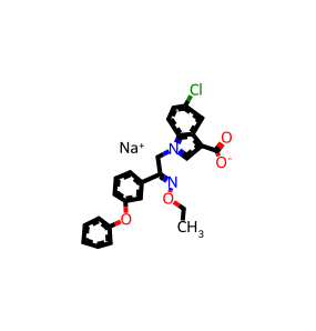 CCON=C(Cn1cc(C(=O)[O-])c2cc(Cl)ccc21)c1cccc(Oc2ccccc2)c1.[Na+]